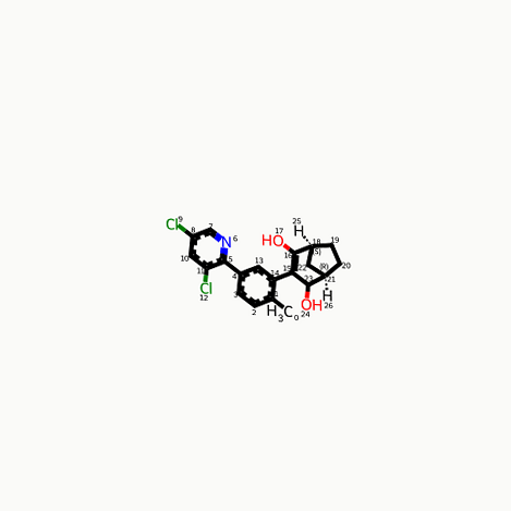 Cc1ccc(-c2ncc(Cl)cc2Cl)cc1C1=C(O)[C@H]2CC[C@H](C2)C1O